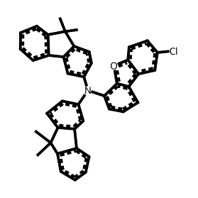 CC1(C)c2ccccc2-c2cc(N(c3ccc4c(c3)-c3ccccc3C4(C)C)c3cccc4c3oc3ccc(Cl)cc34)ccc21